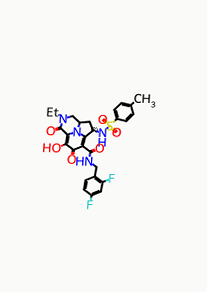 CCN1CC2C[C@@H](NS(=O)(=O)c3ccc(C)cc3)c3c(C(=O)NCc4ccc(F)cc4F)c(=O)c(O)c(n32)C1=O